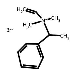 C=C[N+](C)(C)C(C)c1ccccc1.[Br-]